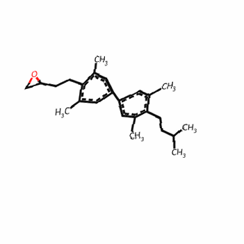 Cc1cc(-c2cc(C)c(CCC3CO3)c(C)c2)cc(C)c1CCC(C)C